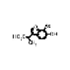 CC(=O)c1c(O)ccc2c(C(C)C(=O)O)coc12